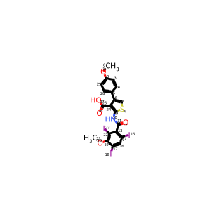 COc1ccc(-c2csc(NC(=O)c3c(I)cc(I)c(OC)c3I)c2C(=O)O)cc1